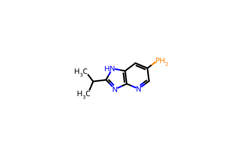 CC(C)c1nc2ncc(P)cc2[nH]1